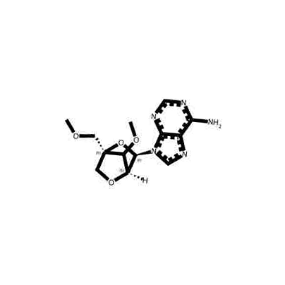 COC[C@@]12CO[C@@H](C1OC)[C@H](n1cnc3c(N)ncnc31)O2